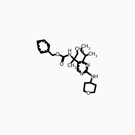 CCC(C)c1nc(NC2CCOCC2)ncc1C(C)(CC)NC(=O)OCc1ccccc1